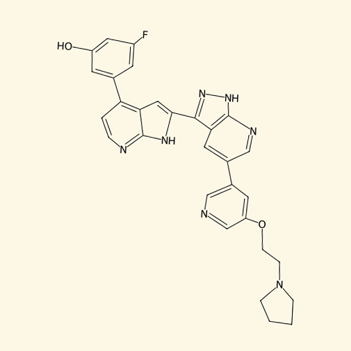 Oc1cc(F)cc(-c2ccnc3[nH]c(-c4n[nH]c5ncc(-c6cncc(OCCN7CCCC7)c6)cc45)cc23)c1